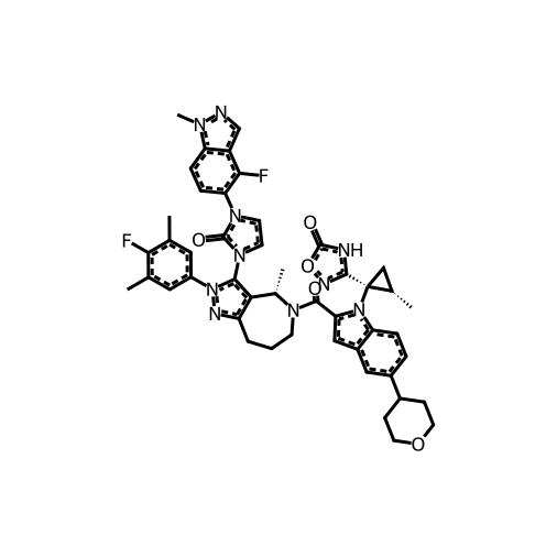 Cc1cc(-n2nc3c(c2-n2ccn(-c4ccc5c(cnn5C)c4F)c2=O)[C@H](C)N(C(=O)c2cc4cc(C5CCOCC5)ccc4n2[C@@]2(c4noc(=O)[nH]4)C[C@@H]2C)CCC3)cc(C)c1F